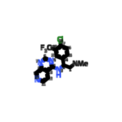 CNCC(Nc1ncnc2cnccc12)c1ccc(Cl)c(C(F)(F)F)c1